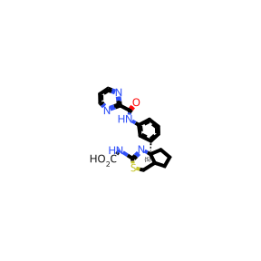 O=C(O)NC1=N[C@@]2(c3cccc(NC(=O)c4ncccn4)c3)CCCC2CS1